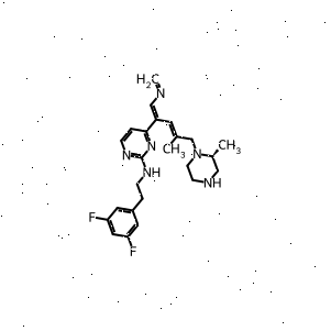 C=N/C=C(\C=C(/C)CN1CCNC[C@@H]1C)c1ccnc(NCCc2cc(F)cc(F)c2)n1